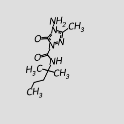 CCCC(C)(C)NC(=O)n1nc(C)n(N)c1=O